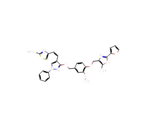 COc1cc(COc2nn(-c3ccccc3)cc2/C=C\c2csc(C)n2)ccc1OCc1nc(-c2ccco2)oc1C